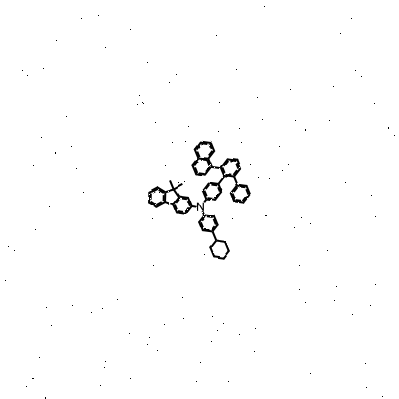 CC1(C)c2ccccc2-c2ccc(N(c3ccc(-c4c(-c5ccccc5)cccc4-c4cccc5ccccc45)cc3)c3ccc(C4CCCCC4)cc3)cc21